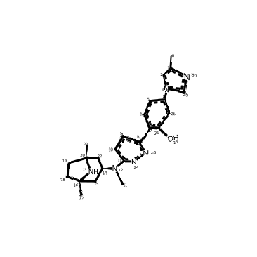 Cc1cn(-c2ccc(-c3ccc(N(C)[C@H]4C[C@]5(C)CC[C@](C)(C4)N5)nn3)c(O)c2)cn1